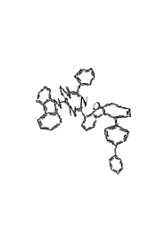 c1ccc(-c2ccc(-c3cccc4oc5c(-c6nc(-c7ccccc7)nc(-n7c8ccccc8c8ccccc87)n6)cccc5c34)cc2)cc1